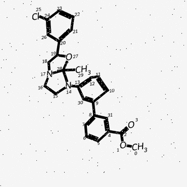 COC(=O)c1cccc(-c2cccc(N3CCN4CC(c5cccc(Cl)c5)OC43C)c2)c1